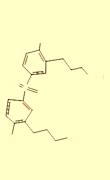 O=S(=O)(O)CCCc1cc(S(=O)(=O)c2ccc(F)c(CCCS(=O)(=O)O)c2)ccc1F